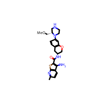 COC[C@@H]1CNCCN1c1ccc2c(c1)OC[C@H](NC(=O)c1sc3nc(C)ccc3c1N)C2